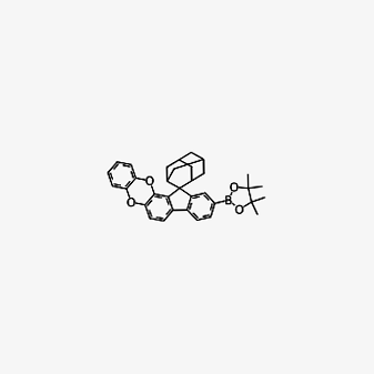 CC1(C)OB(c2ccc3c(c2)C2(c4c-3ccc3c4Oc4ccccc4O3)C3CC4CC(C3)CC2C4)OC1(C)C